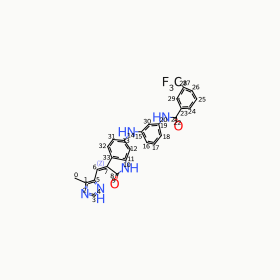 Cc1nc[nH]c1/C=C1\C(=O)Nc2cc(Nc3cccc(NC(=O)c4cccc(C(F)(F)F)c4)c3)ccc21